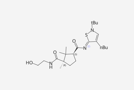 CCCCc1cn(C(C)(C)C)s/c1=N\C(=O)[C@H]1CC[C@@](C)(C(=O)NCCO)C1(C)C